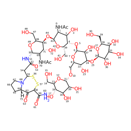 CC(=O)NC1C(O)[C@H](O[C@@H]2OC(CO[C@H]3OC(CO)[C@@H](O)[C@H](O)C3O)[C@@H](O)[C@H](O[C@H]3O[C@@H](CO)[C@@H](O)C(O)C3O)C2O)[C@H](CO)O[C@H]1O[C@@H]1C(CO)O[C@@H](NC(=O)CC2SSC(C(N)=O)C(=O)[C@@H]3CCCN23)C(NC(C)=O)[C@H]1O